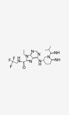 CCn1c(C(=O)NCC(F)(F)F)nc2c(NC3CCC(=N)N(C(=N)C(C)C)C3)ncnc21